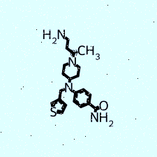 C[C@H](CCN)N1CCC(N(Cc2ccsc2)c2ccc(C(N)=O)cc2)CC1